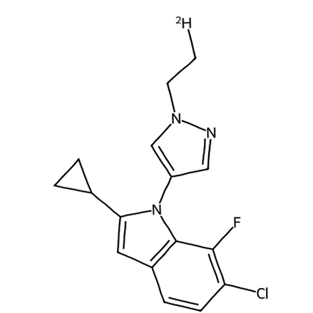 [2H]CCn1cc(-n2c(C3CC3)cc3ccc(Cl)c(F)c32)cn1